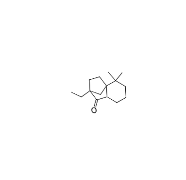 CCC12CCC3(C1)C(CCCC3(C)C)C2=O